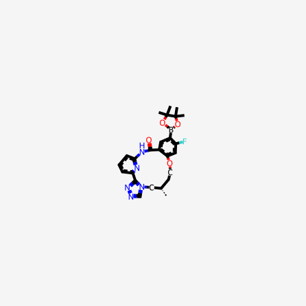 C[C@H]1CCOc2cc(F)c(B3OC(C)(C)C(C)(C)O3)cc2C(=O)Nc2cccc(n2)-c2nncn2C1